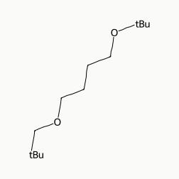 CC(C)(C)COCCCCOC(C)(C)C